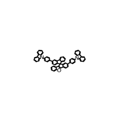 c1ccc2c(c1)-c1cc(-c3ccc(-n4c5ccccc5c5ccccc54)cc3)ccc1C21c2cc(-c3ccc(-n4c5ccccc5c5ccccc54)cc3)ccc2-c2oc3ccccc3c21